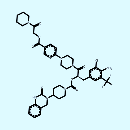 Nc1c(Cl)cc(C[C@@H](OC(=O)N2CCC(N3Cc4ccccc4NC3=O)CC2)C(=O)N2CCN(c3ccc(C(=O)OCC(=O)N4CCCCC4)cn3)CC2)cc1C(F)(F)F